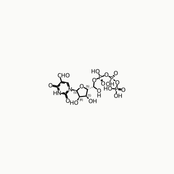 O=Cc1cn([C@H]2O[C@H](C(O)OP(=O)(O)OP(=O)(O)OP(=O)(O)O)[C@@H](O)[C@H]2O)c(=O)[nH]c1=O